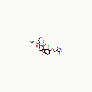 COC(=O)C1(NC(=O)c2c(C)oc3ccc(OCc4scnc4C)c(F)c23)CCOCC1